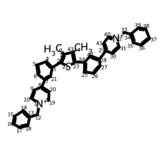 Cc1c(-c2cccc(-c3cc[n+](Cc4ccccc4)cc3)c2)sc(-c2cccc(-c3cc[n+](Cc4ccccc4)cc3)c2)c1C